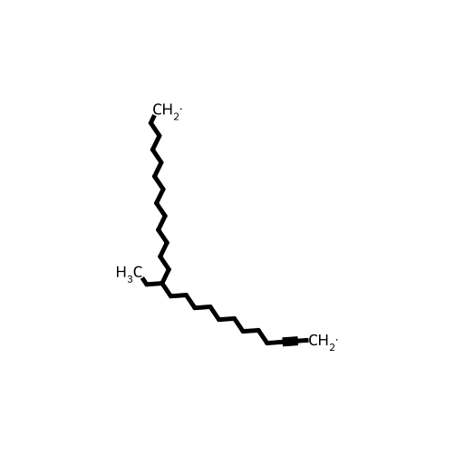 [CH2]C#CCCCCCCCCCC(CC)CCCCCCCCCCCC[CH2]